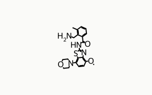 COc1ccc(N2CCOCC2)c2sc(NC(=O)c3cccc(C)c3CN)nc12